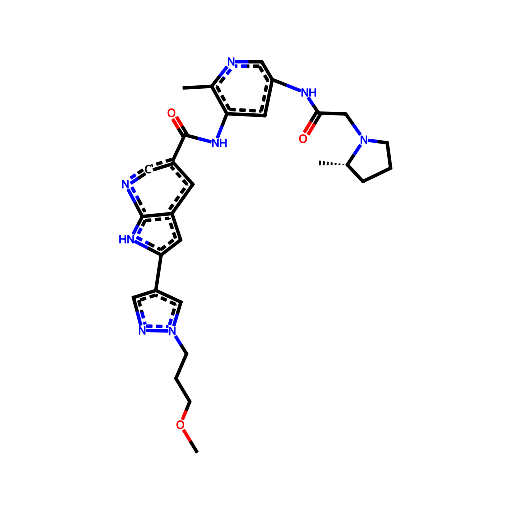 COCCCn1cc(-c2cc3cc(C(=O)Nc4cc(NC(=O)CN5CCC[C@@H]5C)cnc4C)cnc3[nH]2)cn1